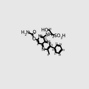 Cc1nc2cc(OC(N)=O)nc(N)c2nc1-c1ccccc1.O=S(=O)(O)CCO